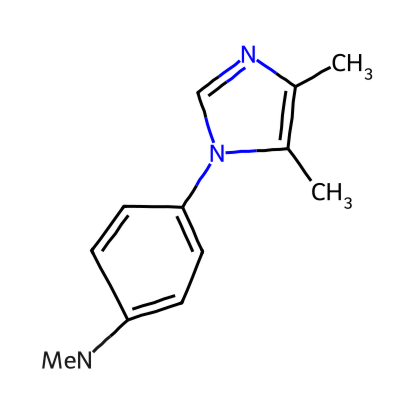 CNc1ccc(-n2cnc(C)c2C)cc1